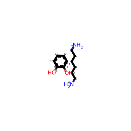 NCCCCCCN.Oc1ccccc1O